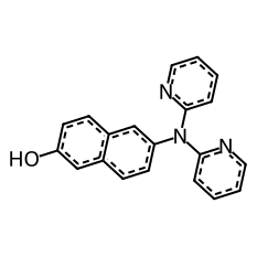 Oc1ccc2cc(N(c3ccccn3)c3ccccn3)ccc2c1